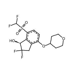 O=S(=O)(c1ccc(OC2CCOCC2)c2c1[C@H](O)C(F)(F)C2)C(F)F